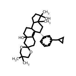 CC1(C)COC2(CCC3=C4C(CCC3(O)C2)C2CCC(C)(O)C2(C)C[C@@H]4c2cccc(C3CC3)c2)OC1